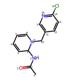 CC(=O)NC1C=CC=CN1Cc1ccc(Cl)nc1